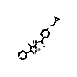 Cc1c(-c2ccncc2)n[nH]c1NC(=O)c1ccc(OCC2CC2)cc1